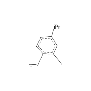 C=Cc1ccc(C(C)C)cc1C